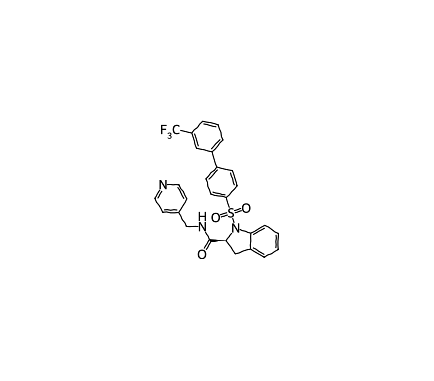 O=C(NCc1ccncc1)[C@@H]1Cc2ccccc2N1S(=O)(=O)c1ccc(-c2cccc(C(F)(F)F)c2)cc1